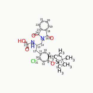 CC(C)(C)[Si](C)(C)Oc1ccc(CC(CN2C(=O)c3ccccc3C2=O)NC(=O)O)c(Cl)c1